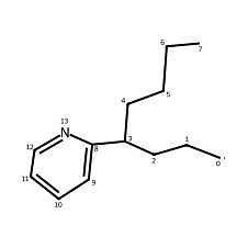 [CH2]CCC(CCCC)c1ccccn1